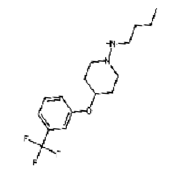 CCCCNN1CCC(Oc2cccc(C(F)(F)F)c2)CC1